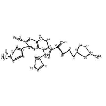 COc1cc2c(cc1-c1ccn(C)c1)-c1c(c(C(=O)CCC[C@H]3CC[C@@H](O)C3)nn1-c1ccsc1)CO2